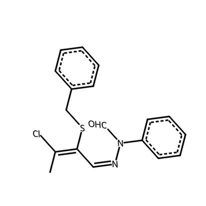 C/C(Cl)=C(\C=N/N(C=O)c1ccccc1)SCc1ccccc1